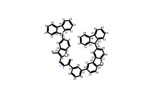 C=C(/C=C\c1oc2ccc(-n3c4ccccc4c4ccccc43)cc2c1C)c1cccc(-c2ccc3oc4ccc(C5c6ccccc6-c6ccccc65)cc4c3c2)c1